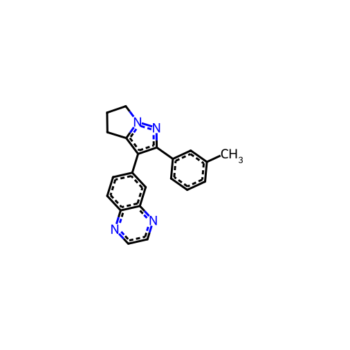 Cc1cccc(-c2nn3c(c2-c2ccc4nccnc4c2)CCC3)c1